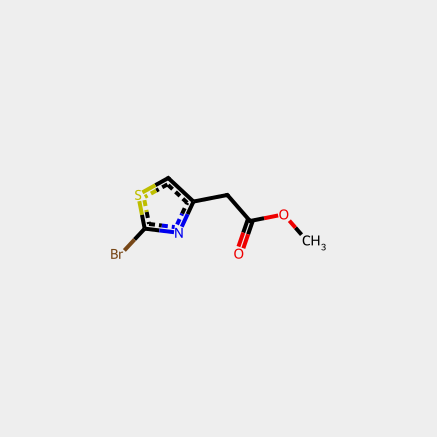 COC(=O)Cc1csc(Br)n1